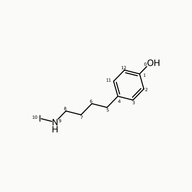 Oc1ccc(CCCCNI)cc1